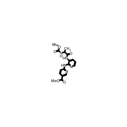 COC(=O)c1ccc(Nc2ncccc2NC(=O)C(C)NC(=O)OC(C)(C)C)nc1